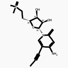 C=C1C=C(N)C(C#CC)=CN1[C@@H]1O[C@H](CCP(=C)(C)C)[C@@H](O)[C@H]1O